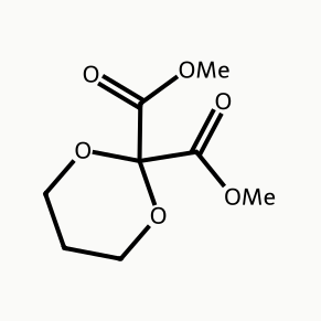 COC(=O)C1(C(=O)OC)OCCCO1